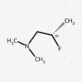 C[C@H](F)CN(C)C